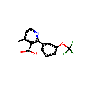 Cc1ccnc(-c2cccc(OC(F)(F)F)c2)c1B(O)O